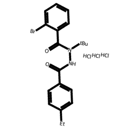 CCc1ccc(C(=O)NN(C(=O)c2ccccc2Br)C(C)(C)C)cc1.Cl.Cl.Cl